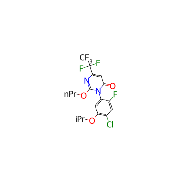 CCCOc1nc(C(F)(F)C(F)(F)F)cc(=O)n1-c1cc(OC(C)C)c(Cl)cc1F